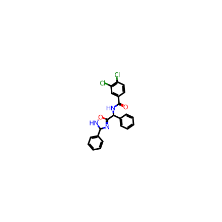 O=C(NC(C1=NC(c2ccccc2)NO1)c1ccccc1)c1ccc(Cl)c(Cl)c1